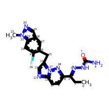 CCC(=NNC(N)=O)c1ccc2ncc(Cc3cc4cnn(C)c4cc3F)n2n1